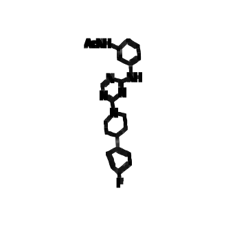 CC(=O)Nc1cccc(Nc2ncnc(N3CCC(c4ccc(F)cc4)CC3)n2)c1